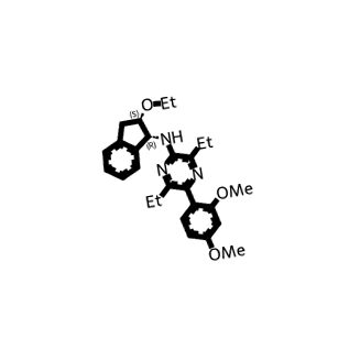 CCO[C@H]1Cc2ccccc2[C@H]1Nc1nc(CC)c(-c2ccc(OC)cc2OC)nc1CC